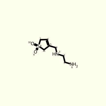 NCCNCC1=CCS(=O)(=O)C1